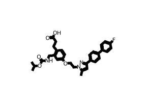 Cc1cc(-c2ccc(-c3ccc(F)cc3)cc2)nn1CCOc1ccc(CCC(=O)O)c(CNC(=O)OC(C)C)c1